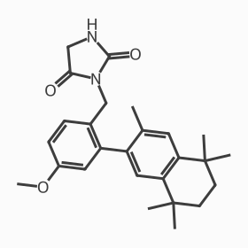 COc1ccc(CN2C(=O)CNC2=O)c(-c2cc3c(cc2C)C(C)(C)CCC3(C)C)c1